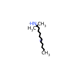 CCCC/C=C/CCCCC(C)(C)[NH]